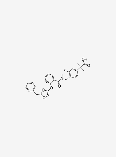 CC(C)(C(=O)O)c1ccc(CNC(=O)c2cccnc2OC2=COC(Cc3ccccc3)O2)c(F)c1